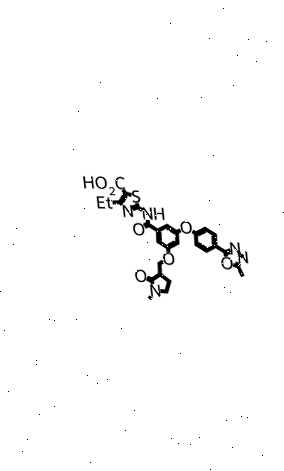 CCc1nc(NC(=O)c2cc(OCC3CCN(C)C3=O)cc(Oc3ccc(-c4nnc(C)o4)cc3)c2)sc1C(=O)O